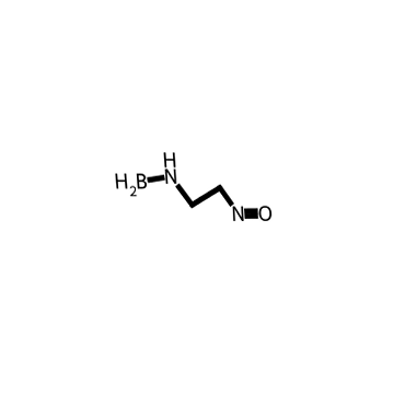 BNCCN=O